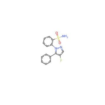 NS(=O)(=O)c1ccccc1-n1ncc(F)c1-c1ccccc1